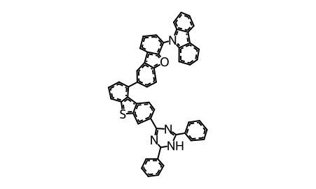 c1ccc(C2=NC(c3ccc4c(c3)sc3cccc(-c5ccc6oc7c(-n8c9ccccc9c9ccccc98)cccc7c6c5)c34)=NC(c3ccccc3)N2)cc1